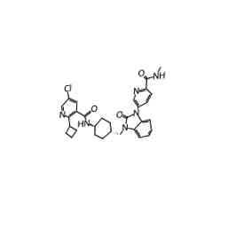 CNC(=O)c1ccc(-n2c(=O)n(C[C@H]3CC[C@H](NC(=O)c4cc(Cl)cnc4C4CCC4)CC3)c3ccccc32)cn1